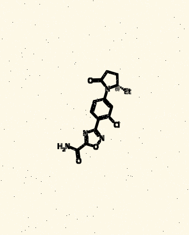 CC[C@H]1CCC(=O)N1c1ccc(-c2noc(C(N)=O)n2)c(Cl)c1